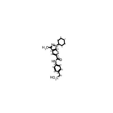 Cc1nn(C2CCCCC2)c2sc(C(=O)Nc3ccc(CC(=O)O)cc3)cc12